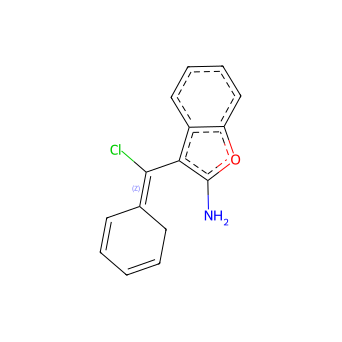 Nc1oc2ccccc2c1/C(Cl)=C1/C=CC=CC1